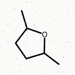 C[C]1CCC(C)O1